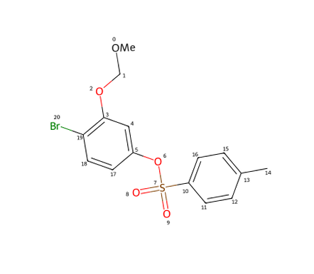 COCOc1cc(OS(=O)(=O)c2ccc(C)cc2)ccc1Br